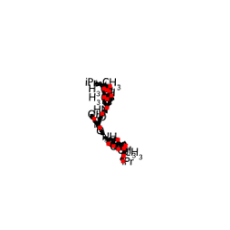 CC(C)CCC[C@@H](C)[C@H]1CCC2C3CC=C4C[C@@H](CNCCOCCN(CCCO)CCOCCNC[C@@H]5CC[C@]6(C)C(=CC[C@@H]7[C@H]8CC[C@H]([C@@H](C)CCCC(C)C)[C@]8(C)CC[C@H]76)C5)CC[C@]4(C)C3CC[C@@]21C